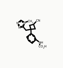 Cn1cnnc1CC1(c2cccc(NC(=O)O)c2)CC(C#N)C1